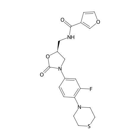 O=C(NC[C@H]1CN(c2ccc(N3CCSCC3)c(F)c2)C(=O)O1)c1ccoc1